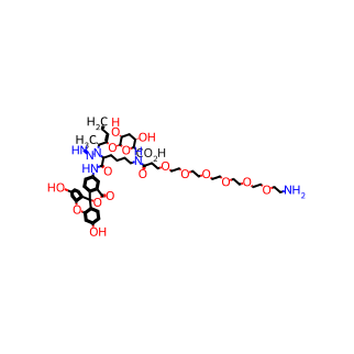 C=CC=C(O[C@@H]1O[C@H](C(=O)O)[C@@H](O)C[C@H]1O)[C@@H](C)N(N=N)C(CCCCNC(=O)CCOCCOCCOCCOCCOCCOCCN)C(=O)Nc1ccc2c(c1)C(=O)OC21c2ccc(O)cc2Oc2cc(O)ccc21